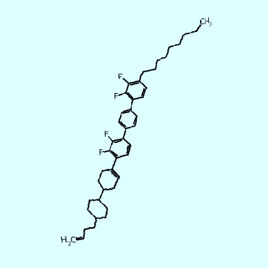 C=CCCC1CCC(C2CC=C(c3ccc(-c4ccc(-c5ccc(CCCCCCCCC)c(F)c5F)cc4)c(F)c3F)CC2)CC1